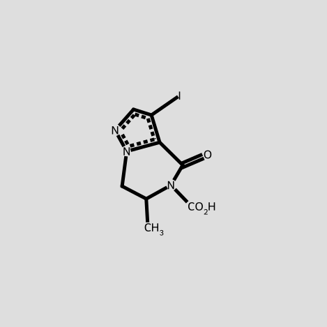 CC1Cn2ncc(I)c2C(=O)N1C(=O)O